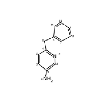 Nc1ccc(Cc2ccccc2)nc1